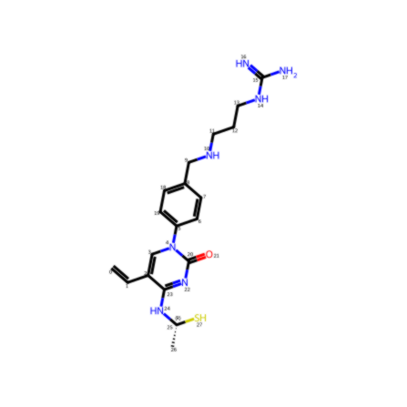 C=Cc1cn(-c2ccc(CNCCCNC(=N)N)cc2)c(=O)nc1N[C@@H](C)S